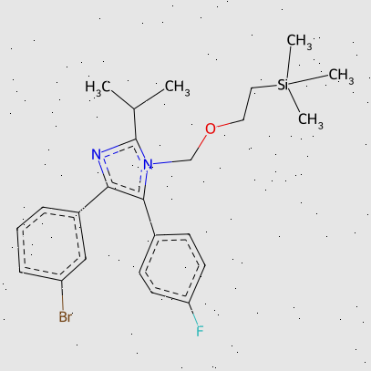 CC(C)c1nc(-c2cccc(Br)c2)c(-c2ccc(F)cc2)n1COCC[Si](C)(C)C